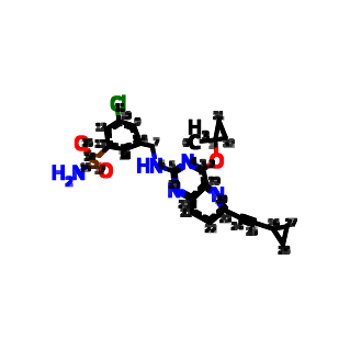 CC1(Oc2nc(NCc3cc(Cl)cc(S(N)(=O)=O)c3)nc3ccc(C#CC4CC4)nc23)CC1